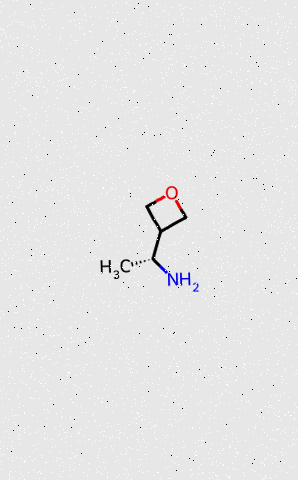 C[C@@H](N)C1COC1